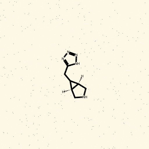 C(c1nnn[nH]1)C1[C@H]2CNC[C@@H]12